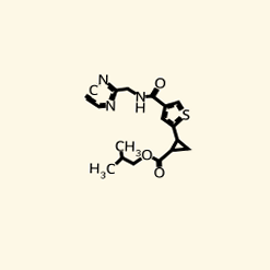 CC(C)COC(=O)C1CC1c1cc(C(=O)NCc2ncccn2)cs1